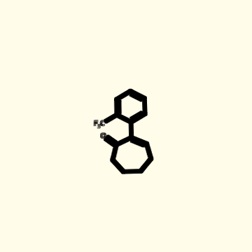 O=C1CCCCC=C1c1ccccc1C(F)(F)F